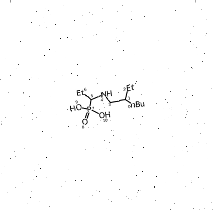 CCCCC(CC)CNC(CC)P(=O)(O)O